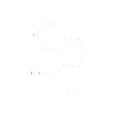 COc1ccc2cc[nH]c(=O)c2c1OC